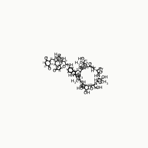 Cc1[nH]c2ccc(NC(=O)CCNP(=O)(NCCC3CC(=O)C=CC3=O)NCCN3C(=O)C=CC3=O)cc2c1C[C@@H]1NC(=O)[C@H](C)NC(=O)[C@H]2C(C[C@H](O)C2O)C(=O)C(CO)NC(=O)[C@@H]([C@H](C)O)NC(=O)C(C(C)C)CNC(=O)[C@H](CC(C)(O)CO)NC1=O